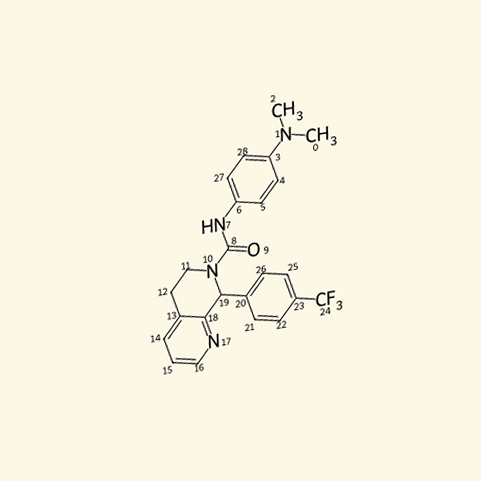 CN(C)c1ccc(NC(=O)N2CCc3cccnc3C2c2ccc(C(F)(F)F)cc2)cc1